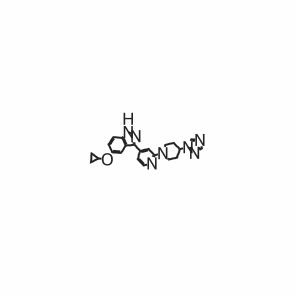 c1cc(-c2n[nH]c3ccc(OC4CC4)cc23)cc(N2CCC(n3cncn3)CC2)n1